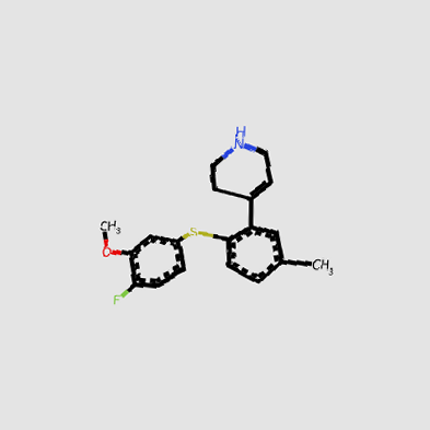 COc1cc(Sc2ccc(C)cc2C2=CCNCC2)ccc1F